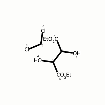 CCOC(=O)C(O)C(O)C(=O)OCC.ClCCl